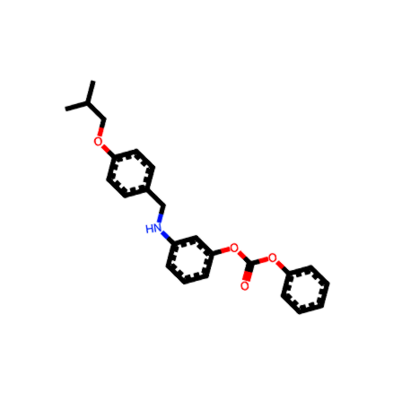 CC(C)COc1ccc(CNc2cccc(OC(=O)Oc3ccccc3)c2)cc1